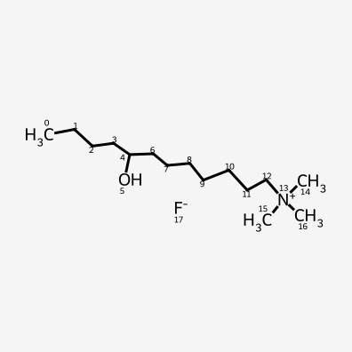 CCCCC(O)CCCCCCC[N+](C)(C)C.[F-]